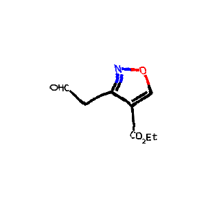 CCOC(=O)c1conc1CC=O